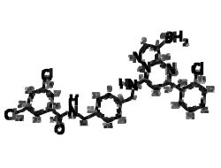 Bc1cnn2c(NCc3ccc(CNC(=O)c4cc(Cl)cc(Cl)c4)cc3)cc(-c3ccccc3Cl)nc12